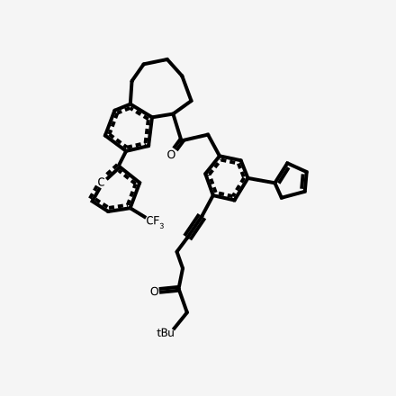 CC(C)(C)CC(=O)CCC#Cc1cc(CC(=O)C2CCCCCc3ccc(-c4cccc(C(F)(F)F)c4)cc32)cc(C2=CC=CC2)c1